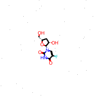 O=c1[nH]c(=O)n([C@@H]2O[C@H](CO)C[C@@H]2O)cc1F